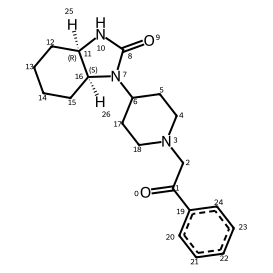 O=C(CN1CCC(N2C(=O)N[C@@H]3CCCC[C@@H]32)CC1)c1ccccc1